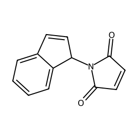 O=C1C=CC(=O)N1C1C=Cc2ccccc21